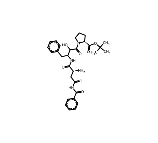 CC(C)(C)OC(=O)[C@@H]1CCCN1C(=O)C(O)C(Cc1ccccc1)NC(=O)[C@@H](N)CC(=O)NC(=O)c1ccccc1